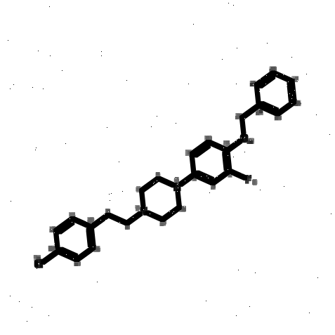 Fc1cc(N2CCN(CCc3ccc(Cl)cc3)CC2)ccc1OCc1ccccc1